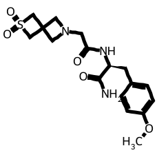 COc1ccc(C[C@H](NC(=O)CN2CC3(C2)CS(=O)(=O)C3)C(N)=O)cc1